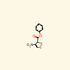 O=C(Oc1ccccc1)C1SSC=C1[N+](=O)[O-]